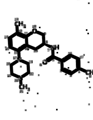 Cc1ccc(C(=O)N[C@@H]2COc3c(C)ccc(N4CCN(C)CC4)c3C2)cc1